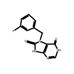 O=c1[nH]cnc2[nH]c(=O)n(Cc3cccc(F)c3)c12